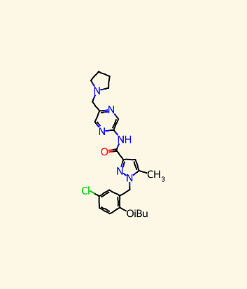 Cc1cc(C(=O)Nc2cnc(CN3CCCC3)cn2)nn1Cc1cc(Cl)ccc1OCC(C)C